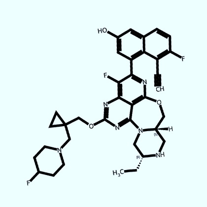 C#Cc1c(F)ccc2cc(O)cc(-c3nc4c5c(nc(OCC6(CN7CCC(F)CC7)CC6)nc5c3F)N3C[C@@H](CC)NC[C@H]3CO4)c12